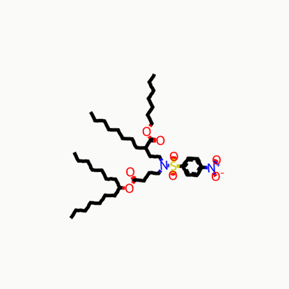 CCCCCCCCC(CCN(CCCC(=O)OC(CCCCCCC)CCCCCCC)S(=O)(=O)c1ccc([N+](=O)[O-])cc1)C(=O)OCCCCCCC